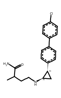 CC(CCN[C@@H]1C[C@H]1c1ccc(-c2ccc(Cl)cc2)cc1)C(N)=O